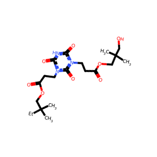 CCC(C)(C)COC(=O)CCn1c(=O)[nH]c(=O)n(CCC(=O)OCC(C)(C)CO)c1=O